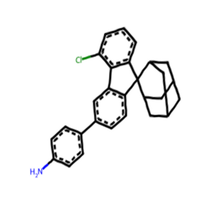 Nc1ccc(-c2ccc3c(c2)-c2c(Cl)cccc2C32C3CC4CC(C3)CC2C4)cc1